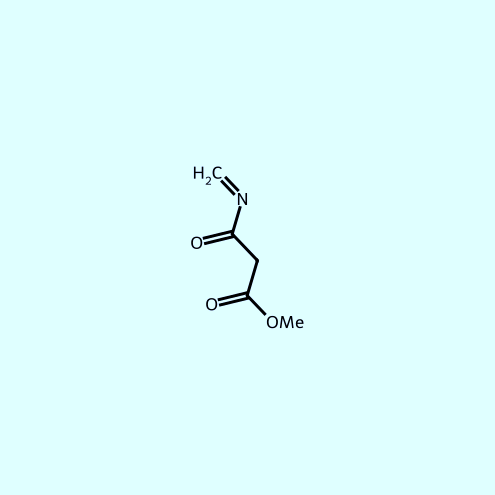 C=NC(=O)CC(=O)OC